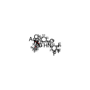 CC(=O)N1C[C@]2(OC1(C)C)C1CC2C[C@@H](S(=O)(=O)c2cc(C(=O)Nc3cc(F)c(F)c(F)c3)ccc2Cl)C1